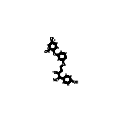 N#CC(C(=O)CCOc1cccc(Oc2ccc(C(F)(F)F)cc2Cl)c1)c1ccc(O)cc1